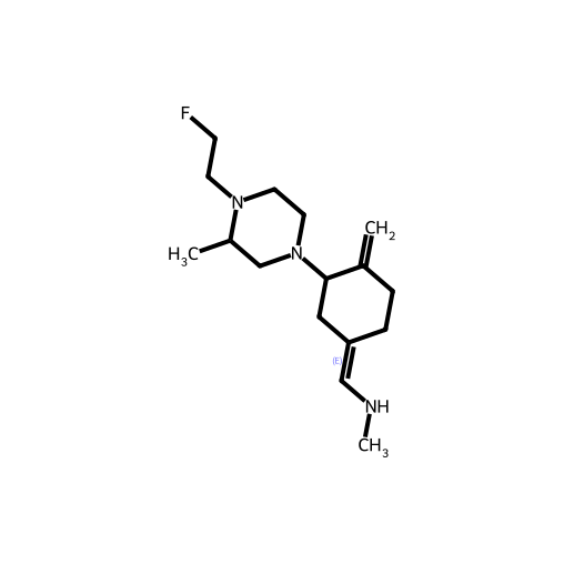 C=C1CC/C(=C\NC)CC1N1CCN(CCF)C(C)C1